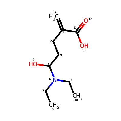 C=C(CCC(O)N(CC)CC)C(=O)O